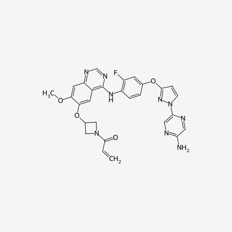 C=CC(=O)N1CC(Oc2cc3c(Nc4ccc(Oc5ccn(-c6cnc(N)cn6)n5)cc4F)ncnc3cc2OC)C1